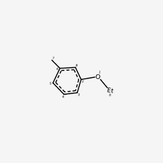 CCOc1c[c]cc(C)c1